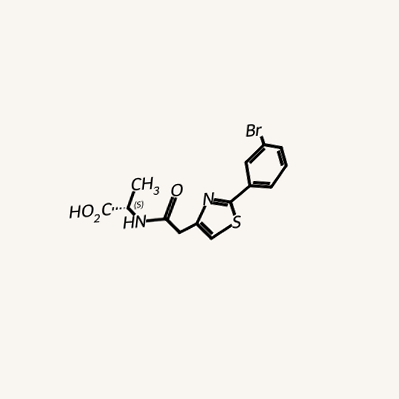 C[C@H](NC(=O)Cc1csc(-c2cccc(Br)c2)n1)C(=O)O